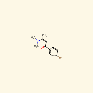 C/C(=C/C(=O)c1ccc(Br)cc1)N(C)C